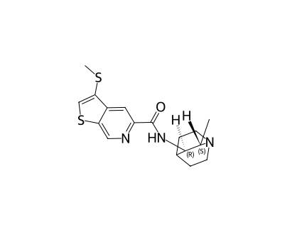 CSc1csc2cnc(C(=O)N[C@@H]3C4CCN(CC4)[C@H]3C)cc12